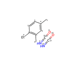 CCc1ccc(C)cc1C.N=C=O.N=C=O